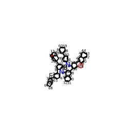 CCC1(c2ccc3c(c2)c2cc(C45CC6CC(CC(C6)C4)C5)cc4c2n3-c2c3c(cc5ccccc25)-c2cc5oc6cc7ccccc7cc6c5cc2N(c2ccc(-c5ccccc5)cc2)B34)CC2CCC(C2)C1